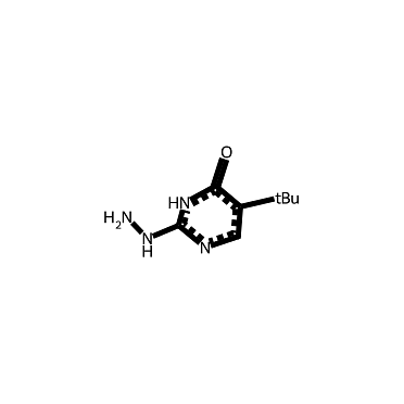 CC(C)(C)c1cnc(NN)[nH]c1=O